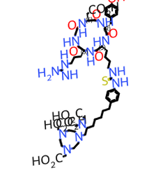 N=C(N)NCCC[C@@H]1NC(=O)[C@H](CCCCNC(=S)Nc2ccc(CCCCCC(CN3CCN(CC(=O)O)CCN(CC(=O)O)CC3)N(CC(=O)O)CC(=O)O)cc2)NC(=O)[C@@H](Cc2ccc(O)cc2)NC(=O)[C@H](CC(=O)O)NC(=O)CNC1=O